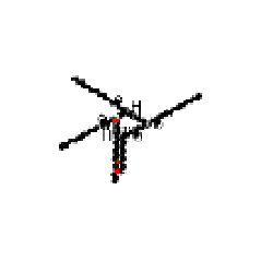 CCCCCCCCCCCCCC(=O)CCN(CCNCCN(CCC(=O)CCCCCCCCCCCCC)CCN(CCC(=O)NCCCCCCCCCCCC)CCC(=O)NCCCCCCCCCCCC)CCC(=O)NCCCCCCCCCCCC